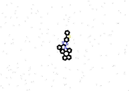 c1ccc(-c2nc3cc4c(cc3nc2-n2c3cccc5c3c3c(cccc32)-c2cccc3cccc-5c23)sc2ccccc24)cc1